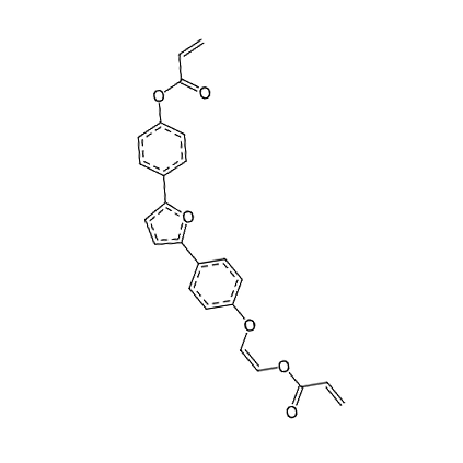 C=CC(=O)O/C=C\Oc1ccc(-c2ccc(-c3ccc(OC(=O)C=C)cc3)o2)cc1